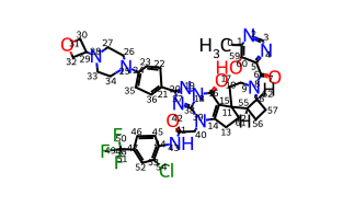 Cc1ncnc(C(=O)N2CCC3(CCc4c3c(=O)n3nc(-c5ccc(N6CCN(C7COC7)CC6)cc5)nc3n4CC(=O)Nc3ccc(C(F)(F)F)cc3Cl)[C@H]3CC[C@H]32)c1O